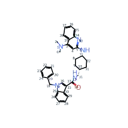 CN(C)c1cc(N[C@H]2CC[C@@H](CNC(=O)c3cn(Cc4ccccc4)c4ccccc34)CC2)nc2ccccc12